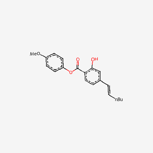 CCCCC=Cc1ccc(C(=O)Oc2ccc(OC)cc2)c(O)c1